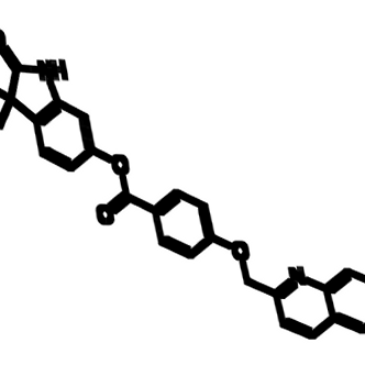 CC1(C)C(=O)Nc2cc(OC(=O)c3ccc(OCc4ccc5ccccc5n4)cc3)ccc21